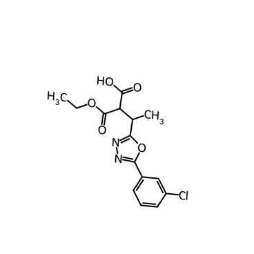 CCOC(=O)C(C(=O)O)C(C)c1nnc(-c2cccc(Cl)c2)o1